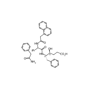 CC(C)C(NC(=O)Cc1cccc2ccccc12)C(=O)N[C@@H](Cc1ccccc1)[C@@H](O)CCC(=O)O.NC(=O)Cc1ccccc1